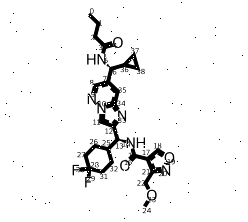 CCCC(=O)N[C@@H](c1cnn2cc([C@@H](NC(=O)c3conc3COC)C3CCC(F)(F)CC3)nc2c1)C1CC1